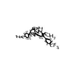 CC1=C(c2ccc(C(F)(F)F)cc2)C=C2NC(c3ccc(C#N)cc3)=CC(=O)N2N1